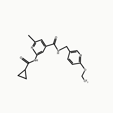 Cc1cc(C(=O)NCc2ccc(OCC(F)(F)F)nc2)cc(NC(=O)C2CC2)n1